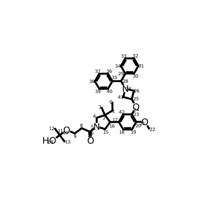 CCC1(C)CN(C(=O)CCOC(C)(C)O)CC1c1ccc(OC)c(OC2CN(C(c3ccccc3)c3ccccc3)C2)c1